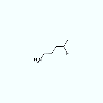 CC(F)CCCN